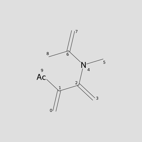 C=C(C(=C)N(C)C(=C)C)C(C)=O